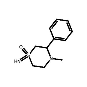 CN1CCS(=N)(=O)CC1c1ccccc1